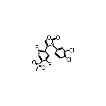 CS(=O)(=O)c1cc(F)c(-c2coc(=O)n2-c2ccc(Cl)c(Cl)c2)cc1F